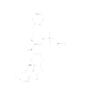 CN1N=C2CCN(C(=O)[C@@H](CCOc3ccc(F)c(F)c3)NC(=O)C(C)(C)OC(N)=O)C[C@@]2(Cc2ccccc2)C1=O